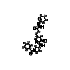 O=C(/C=C/c1cnc(N[C@@H]2CCN(C(=O)c3ccccc3)C2)c(Cl)c1)NOC1CCCCO1